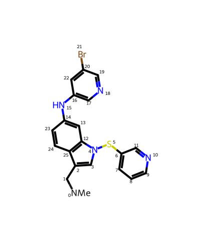 CNCc1cn(Sc2cccnc2)c2cc(Nc3cncc(Br)c3)ccc12